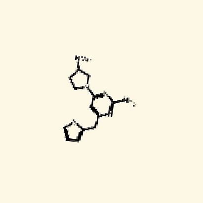 CNC1CCN(c2cc(Cc3cccs3)nc(N)n2)C1